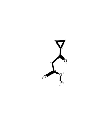 CC(C)OC(=O)CC(=O)C1CC1